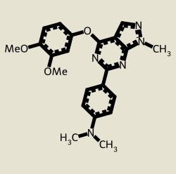 COc1ccc(Oc2nc(-c3ccc(N(C)C)cc3)nc3c2cnn3C)cc1OC